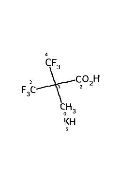 CC(C(=O)O)(C(F)(F)F)C(F)(F)F.[KH]